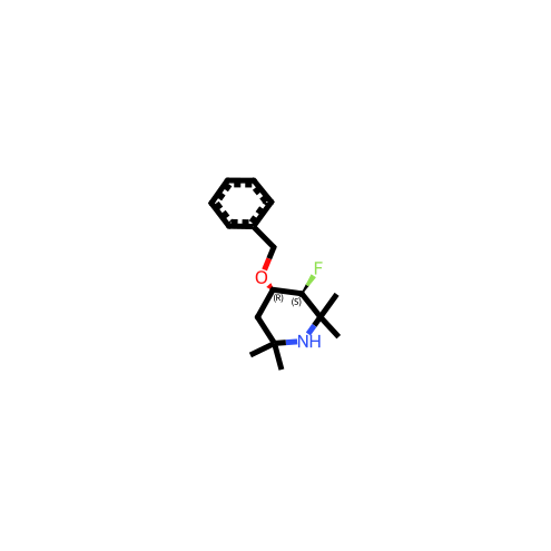 CC1(C)C[C@@H](OCc2ccccc2)[C@@H](F)C(C)(C)N1